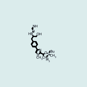 CC(O[Si](C)(C)C(C)(C)C)c1nc(-c2ccc(CC(BOC=N)CO)cc2)cn1C